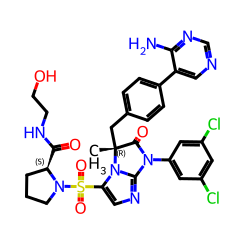 C[C@@]1(Cc2ccc(-c3cncnc3N)cc2)C(=O)N(c2cc(Cl)cc(Cl)c2)c2ncc(S(=O)(=O)N3CCC[C@H]3C(=O)NCCO)n21